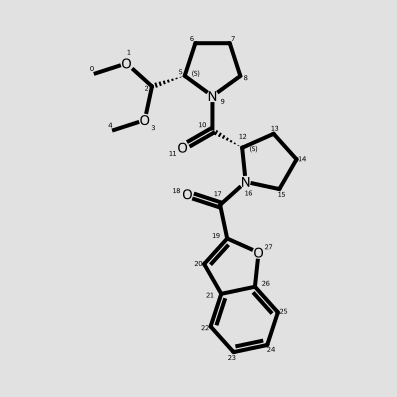 COC(OC)[C@@H]1CCCN1C(=O)[C@@H]1CCCN1C(=O)c1cc2ccccc2o1